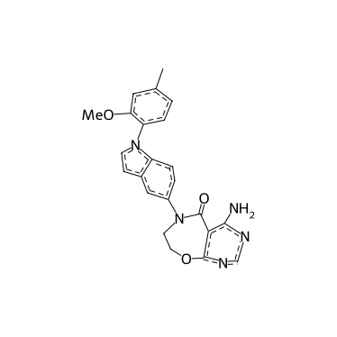 COc1cc(C)ccc1-n1ccc2cc(N3CCOc4ncnc(N)c4C3=O)ccc21